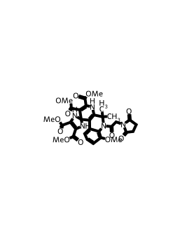 COC(=O)C1=C(C(=O)OC)NC2(N1)C(C(=O)OC)=C(C(=O)OC)NC1=C2c2cccc(OC)c2N(C(=O)CN2C(=O)CCC2=O)C1(C)C